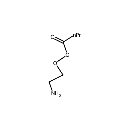 CCCC(=O)OOCCN